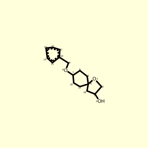 OC1COC2(CCC(OCc3ccccc3)CC2)C1